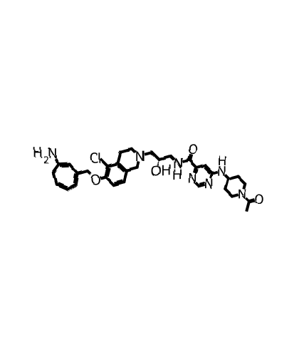 CC(=O)N1CCC(Nc2cc(C(=O)NC[C@H](O)CN3CCc4c(ccc(OCC5=CC=CCC(N)=C5)c4Cl)C3)ncn2)CC1